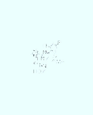 COC(=O)C1=C(CN(/C=C\O)N2COC2)NC(c2nccs2)=N[C@H]1c1ccc(F)cc1Cl